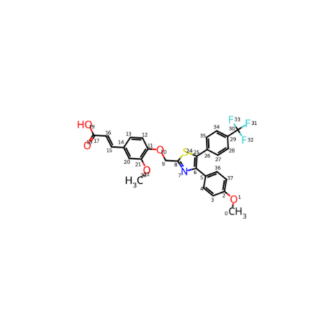 COc1ccc(-c2nc(COc3ccc(/C=C/C(=O)O)cc3OC)sc2-c2ccc(C(F)(F)F)cc2)cc1